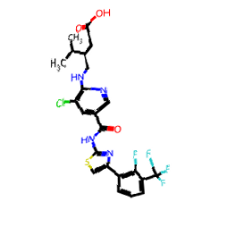 CC(C)[C@H](CNc1ncc(C(=O)Nc2nc(-c3cccc(C(F)(F)F)c3F)cs2)cc1Cl)CC(=O)O